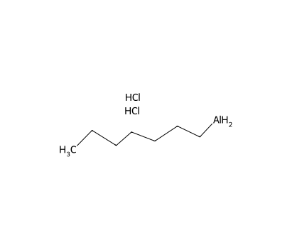 CCCCCC[CH2][AlH2].Cl.Cl